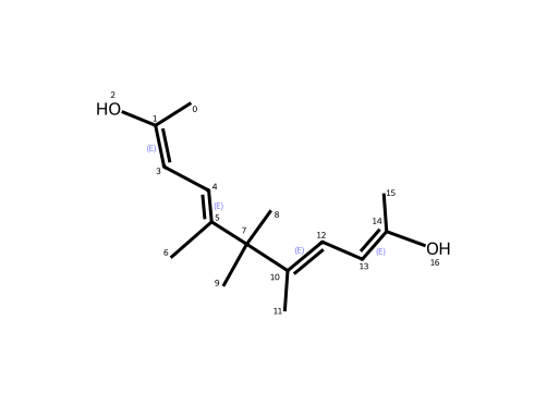 C/C(O)=C\C=C(/C)C(C)(C)/C(C)=C/C=C(\C)O